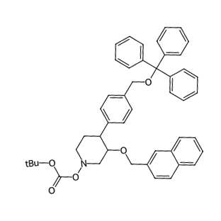 CC(C)(C)OC(=O)ON1CCC(c2ccc(COC(c3ccccc3)(c3ccccc3)c3ccccc3)cc2)C(OCc2ccc3ccccc3c2)C1